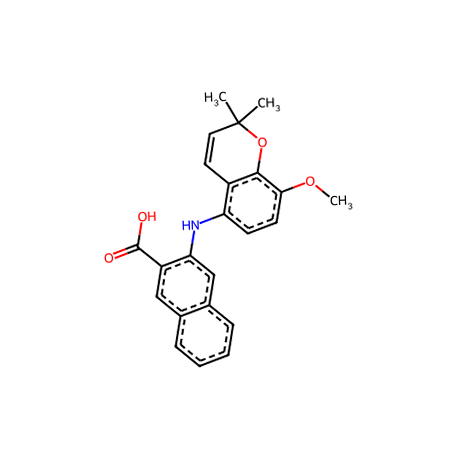 COc1ccc(Nc2cc3ccccc3cc2C(=O)O)c2c1OC(C)(C)C=C2